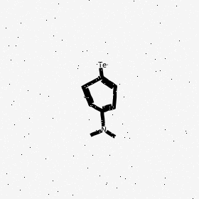 CN(C)c1ccc([Te])cc1